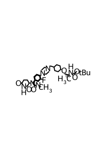 C[C@H](COC1CCC(CN2CCN(c3ccc4c(c3F)n(C)c(=O)n4C3CCC(=O)NC3=O)CC2)CC1)NC(=O)OC(C)(C)C